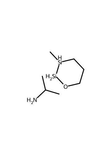 CC(C)N.C[SiH]1CCCO[SiH2]1